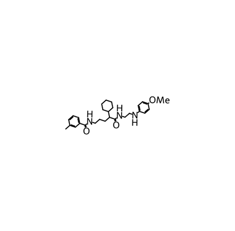 COc1ccc(NCCNC(=O)C(CCCNC(=O)c2cccc(C)c2)C2CCCCC2)cc1